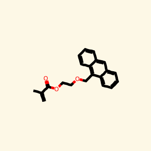 C=C(C)C(=O)OCCOCc1c2ccccc2cc2ccccc12